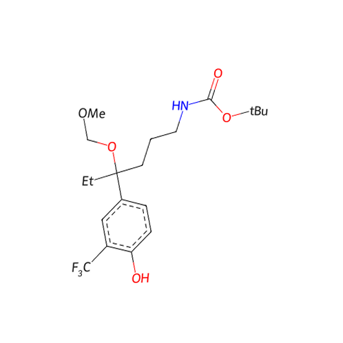 CCC(CCCNC(=O)OC(C)(C)C)(OCOC)c1ccc(O)c(C(F)(F)F)c1